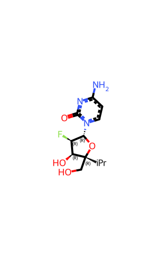 CC(C)[C@]1(CO)O[C@@H](n2ccc(N)nc2=O)[C@H](F)[C@@H]1O